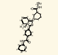 CC(C)(C)NC(=O)C1CCCN(C2=C3C=NC=C[N+]3(N)C(c3ccc(C(=O)Nc4ccccn4)cc3)=N2)C1